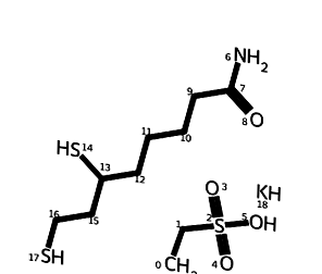 CCS(=O)(=O)O.NC(=O)CCCCC(S)CCS.[KH]